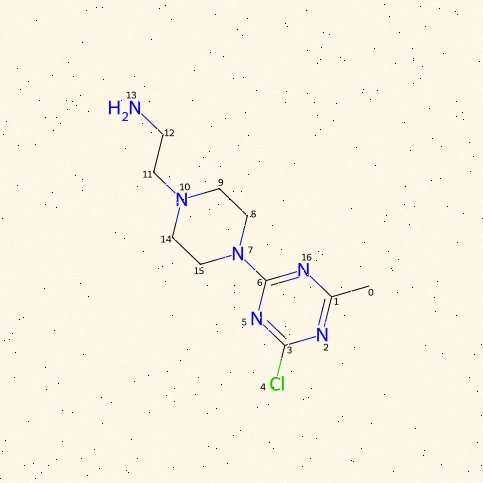 Cc1nc(Cl)nc(N2CCN(CCN)CC2)n1